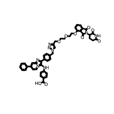 O=C1CCC(N2C(=O)c3cccc(OCCOCCOCc4cn(Cc5ccc(-c6nc7cc(-c8ccccc8)ccn7c6Nc6ccc(C(=O)O)cc6)cc5)nn4)c3C2=O)C(=O)N1